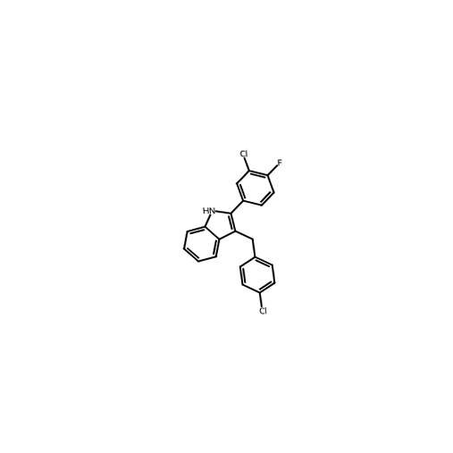 Fc1ccc(-c2[nH]c3ccccc3c2Cc2ccc(Cl)cc2)cc1Cl